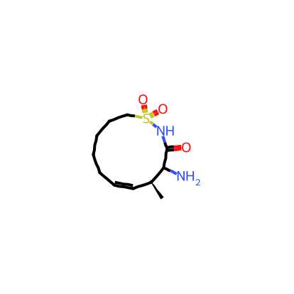 C[C@H]1/C=C\CCCCCS(=O)(=O)NC(=O)C1N